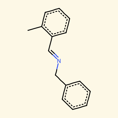 Cc1ccccc1C=NCc1ccccc1